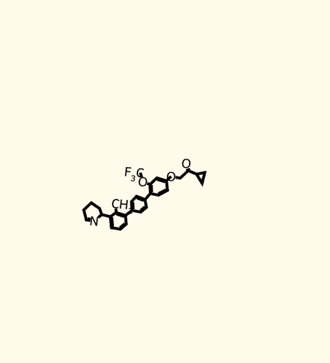 Cc1c(-c2ccc(-c3ccc(OCC(=O)C4CC4)cc3OC(F)(F)F)cc2)cccc1C1CCCC=N1